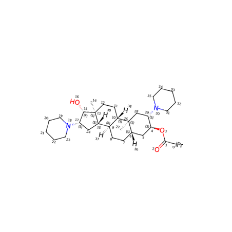 CC(C)C(=O)O[C@H]1C[C@@H]2CC[C@@H]3[C@H](CC[C@]4(C)[C@@H](O)[C@@H](N5CCCCC5)C[C@@H]34)[C@@]2(C)C[C@@H]1N1CCCCC1